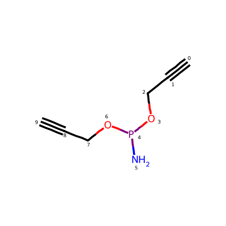 C#CCOP(N)OCC#C